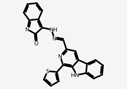 O=C1N=c2ccccc2=C1N/N=C/c1cc2c([nH]c3ccccc32)c(-c2cccs2)n1